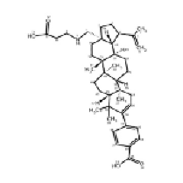 C=C(C)[C@@H]1CC[C@]2(CNCCC(=O)O)CC[C@]3(C)[C@H](CC[C@@H]4[C@@]5(C)CC=C(c6ccc(C(=O)O)cc6)C(C)(C)[C@@H]5CC[C@]43C)[C@@H]12